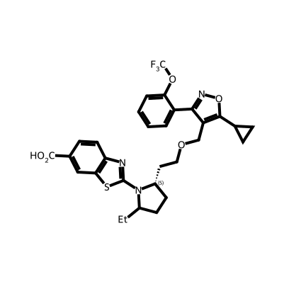 CCC1CC[C@@H](CCOCc2c(-c3ccccc3OC(F)(F)F)noc2C2CC2)N1c1nc2ccc(C(=O)O)cc2s1